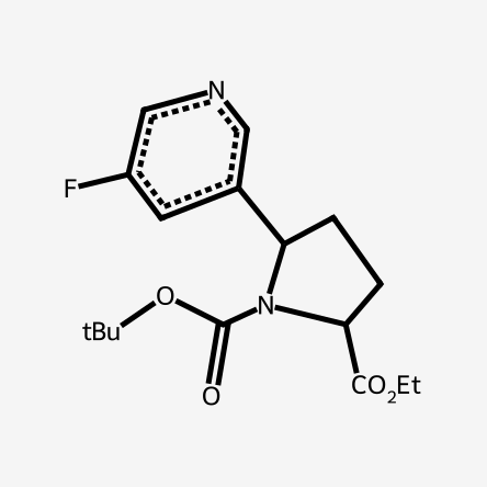 CCOC(=O)C1CCC(c2cncc(F)c2)N1C(=O)OC(C)(C)C